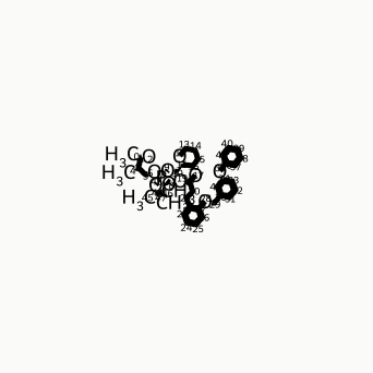 CC(=O)[C@@H](C)COP(=O)(OC[C@H]1OCCC[C@@H]1OC(=O)CCc1ccccc1OCc1cccc(Oc2ccccc2)c1)OC(C)(C)C